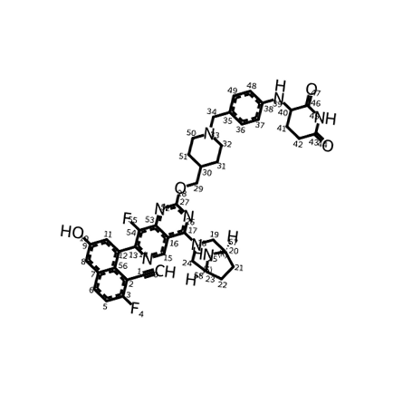 C#Cc1c(F)ccc2cc(O)cc(-c3ncc4c(N5C[C@H]6CC[C@@H](C5)N6)nc(OCC5CCN(Cc6ccc(NC7CCC(=O)NC7=O)cc6)CC5)nc4c3F)c12